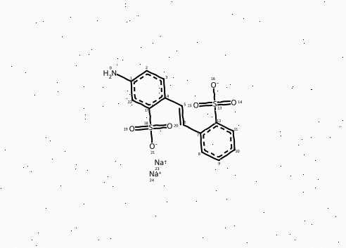 Nc1ccc(C=Cc2ccccc2S(=O)(=O)[O-])c(S(=O)(=O)[O-])c1.[Na+].[Na+]